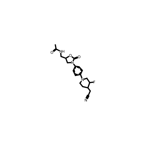 CC(=O)NCC1CN(c2ccc(N3CCC(CC#N)C(F)C3)cc2)C(=O)O1